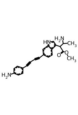 COC(=O)C(c1c[nH]c2cc(C#CC#Cc3ccc(N)cc3)ccc12)C(C)N